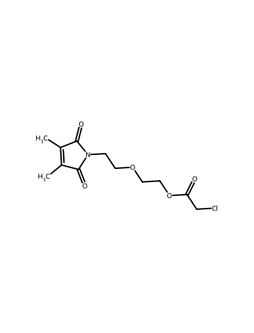 CC1=C(C)C(=O)N(CCOCCOC(=O)CCl)C1=O